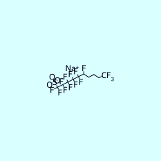 O=S(=O)([O-])C(F)(F)C(F)(F)C(F)(F)C(F)(F)C(F)(F)C(F)CCCC(F)(F)F.[Na+]